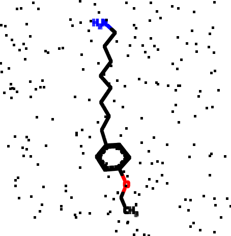 CCOc1ccc(CCCCCCCCN)cc1